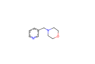 [c]1ccc(CN2CCOCC2)cn1